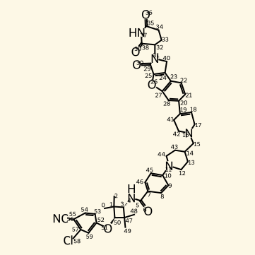 CC1(C)[C@H](NC(=O)c2ccc(N3CCC(CN4CC=C(c5ccc6c7c(oc6c5)C(=O)N(C5CCC(=O)NC5=O)C7)CC4)CC3)cc2)C(C)(C)[C@H]1Oc1ccc(C#N)c(Cl)c1